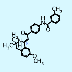 COc1ccc2c(c1)/C(=C/C(=O)c1ccc(NC(=O)c3cccc(C)c3)cc1)NC(C)(C)C2